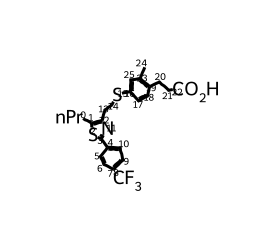 CCCc1sc(-c2ccc(C(F)(F)F)cc2)nc1CCSc1ccc(CCC(=O)O)c(C)c1